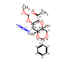 COCO[C@@H]1[C@@H](N=[N+]=[N-])[C@H]2O[C@@H](c3ccccc3)OC[C@H]2O[C@H]1C(C)=O